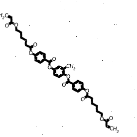 C=CC(=O)OCCCCCC(=O)Oc1ccc(C(=O)Oc2ccc(OC(=O)c3ccc(OC(=O)CCCCCOC(=O)C=C)cc3)c(C)c2)cc1